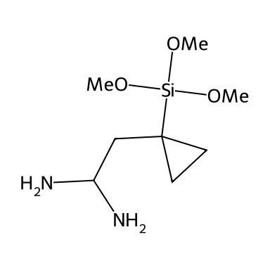 CO[Si](OC)(OC)C1(CC(N)N)CC1